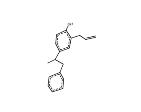 C=CCc1cc(C(C)Cc2ccccc2)ccc1O